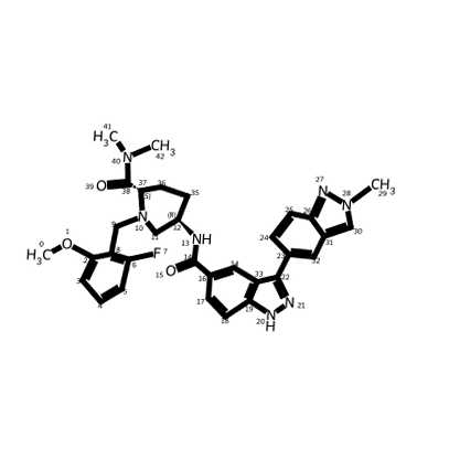 COc1cccc(F)c1CN1C[C@H](NC(=O)c2ccc3[nH]nc(-c4ccc5nn(C)cc5c4)c3c2)CC[C@H]1C(=O)N(C)C